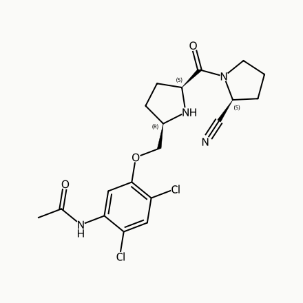 CC(=O)Nc1cc(OC[C@H]2CC[C@@H](C(=O)N3CCC[C@H]3C#N)N2)c(Cl)cc1Cl